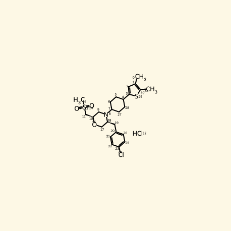 Cc1cc(C2CCC(N3C[C@H](CS(C)(=O)=O)OC[C@@H]3Cc3ccc(Cl)cc3)CC2)sc1C.Cl